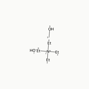 CC[N+](CC)(CC)CC.CO.[OH-]